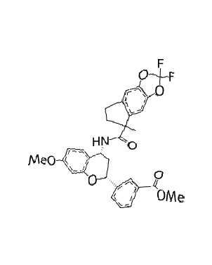 COC(=O)c1cccc([C@H]2C[C@@H](NC(=O)C3(C)CCc4cc5c(cc43)OC(F)(F)O5)c3ccc(OC)cc3O2)c1